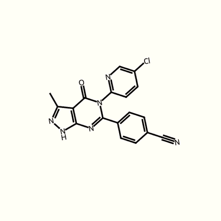 Cc1n[nH]c2nc(-c3ccc(C#N)cc3)n(-c3ccc(Cl)cn3)c(=O)c12